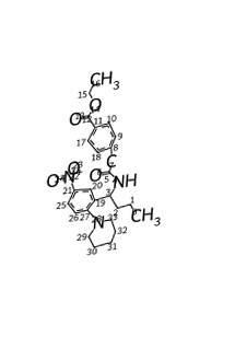 CCCC(NC(=O)Cc1ccc(C(=O)OCC)cc1)c1cc([N+](=O)[O-])ccc1N1CCCCC1